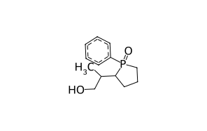 CC(CO)C1CCCP1(=O)c1ccccc1